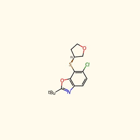 CC(C)(C)c1nc2ccc(Cl)c(S[C@H]3CCOC3)c2o1